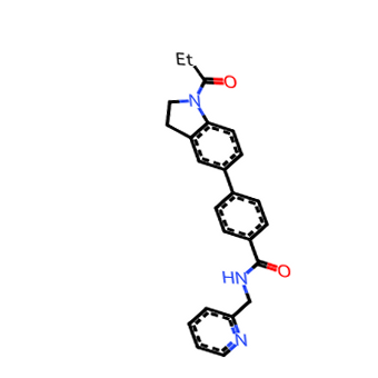 CCC(=O)N1CCc2cc(-c3ccc(C(=O)NCc4ccccn4)cc3)ccc21